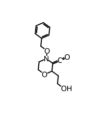 O=C=C1C(CCO)OCCN1OCc1ccccc1